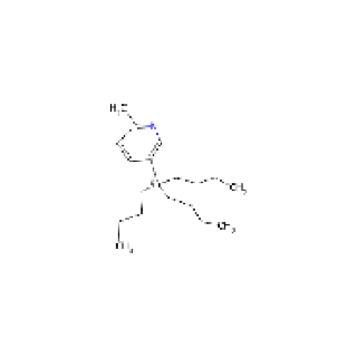 CCC[CH2][Sn]([CH2]CCC)([CH2]CCC)[c]1ccc(C)nc1